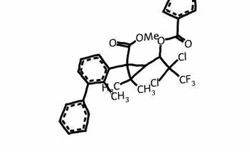 COC(=O)C1(c2cccc(-c3ccccc3)c2C)C(C(OC(=O)c2ccccc2)C(Cl)(Cl)C(F)(F)F)C1(C)C